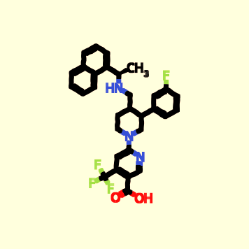 C[C@@H](NCC1CCN(c2cc(C(F)(F)F)c(C(=O)O)cn2)CC1c1cccc(F)c1)c1cccc2ccccc12